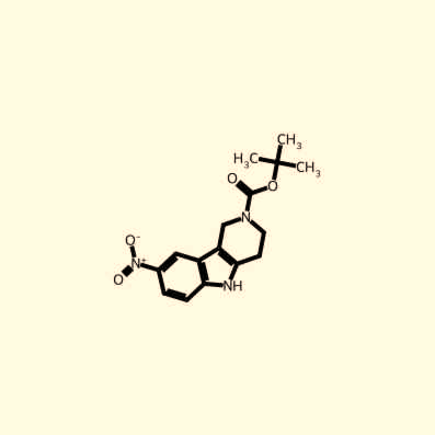 CC(C)(C)OC(=O)N1CCc2[nH]c3ccc([N+](=O)[O-])cc3c2C1